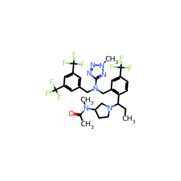 CCC(c1ccc(C(F)(F)F)cc1CN(Cc1cc(C(F)(F)F)cc(C(F)(F)F)c1)c1nnn(C)n1)N1CCC(N(C)C(C)=O)C1